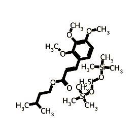 COc1ccc(C=CC(=O)OCCC(C)C)c(OC)c1OC.C[Si](C)(C)O[SiH2]O[Si](C)(C)C